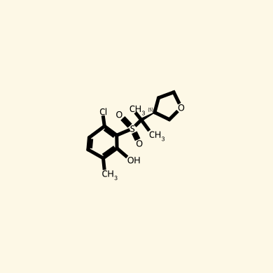 Cc1ccc(Cl)c(S(=O)(=O)C(C)(C)[C@H]2CCOC2)c1O